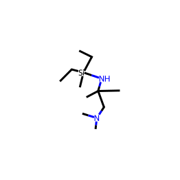 CC[Si](C)(CC)NC(C)(C)CN(C)C